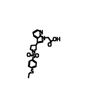 CCSc1ccc(S(=O)(=O)N2CCC(c3cn(CC(=O)O)c4ncccc34)C2)cc1